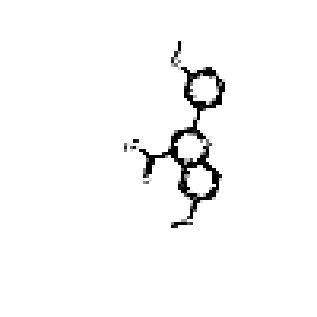 COc1cccc(-c2cc(C(=O)O)c3cc(OC)ccc3n2)c1